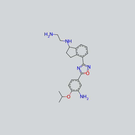 CC(C)Oc1ccc(-c2nc(-c3cccc4c3CCC4NCCN)no2)cc1N